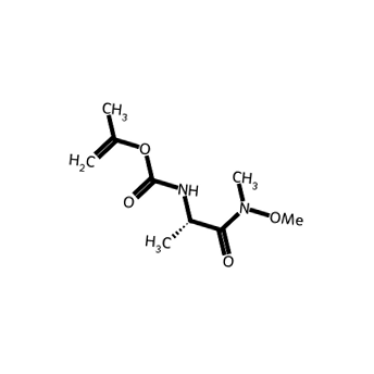 C=C(C)OC(=O)N[C@@H](C)C(=O)N(C)OC